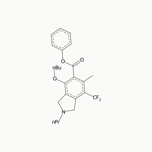 CCCCOc1c2c(c(C(F)(F)F)c(C)c1C(=O)Oc1ccccc1)CN(CCC)C2